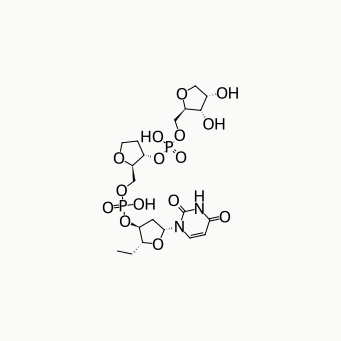 CC[C@H]1O[C@@H](n2ccc(=O)[nH]c2=O)C[C@@H]1OP(=O)(O)OC[C@H]1OCC[C@@H]1OP(=O)(O)OC[C@H]1OC[C@H](O)[C@@H]1O